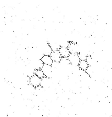 Cc1cc(I)ccc1Nc1c(C(=O)O)cc(C(=O)N2CCN(c3nc4ccccc4o3)CC2)c(F)c1F